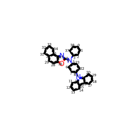 c1ccc(N(c2ccc(-n3c4ccccc4c4ccccc43)cc2)c2nc3c(ccc4ccccc43)o2)cc1